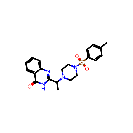 Cc1ccc(S(=O)(=O)N2CCN(C(C)c3nc4ccccc4c(=O)[nH]3)CC2)cc1